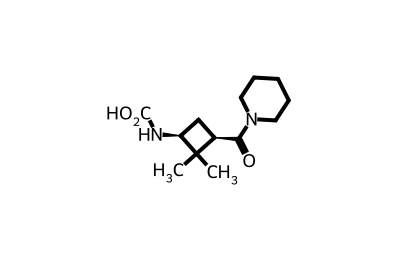 CC1(C)[C@@H](NC(=O)O)C[C@H]1C(=O)N1CCCCC1